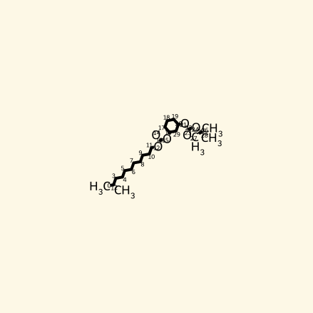 CC(C)CCCCCCCCCOC(=O)OC1CCCC(OC(=O)OC(C)(C)C)C1